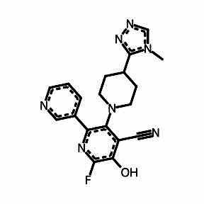 Cn1cnnc1C1CCN(c2c(-c3cccnc3)nc(F)c(O)c2C#N)CC1